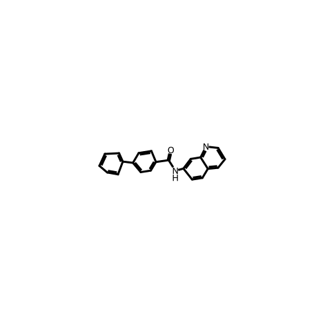 O=C(Nc1ccc2cccnc2c1)c1ccc(-c2ccccc2)cc1